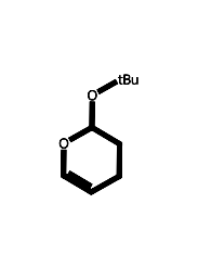 CC(C)(C)OC1CCC=CO1